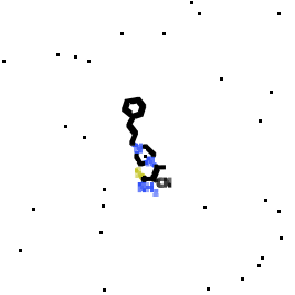 C/C(=C(\C#N)C(N)=S)N1CCN(C/C=C/c2ccccc2)CC1